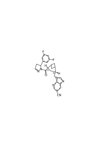 N#Cc1cnc2c(c1)ncn2C[C@@H]1C[C@H](C(=O)N2N=CCC2c2cc(F)cc(F)c2)C2CC1C2